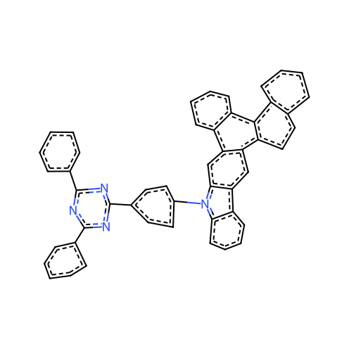 c1ccc(-c2nc(-c3ccccc3)nc(-c3ccc(-n4c5ccccc5c5cc6c(cc54)c4ccccc4c4c5ccccc5ccc64)cc3)n2)cc1